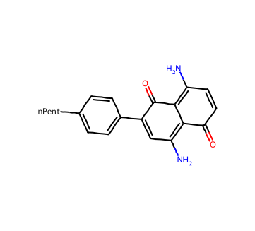 CCCCCc1ccc(C2=CC(N)=C3C(=O)C=CC(N)=C3C2=O)cc1